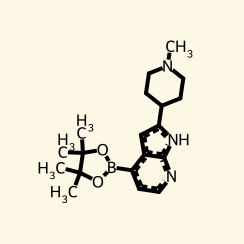 CN1CCC(c2cc3c(B4OC(C)(C)C(C)(C)O4)ccnc3[nH]2)CC1